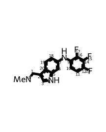 CNCc1c[nH]c2cc(Nc3ccc(F)c(F)c3F)ccc12